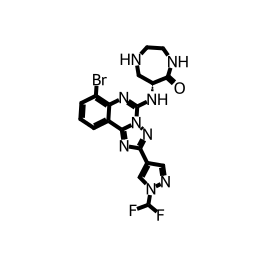 O=C1NCCNC[C@H]1Nc1nc2c(Br)cccc2c2nc(-c3cnn(C(F)F)c3)nn12